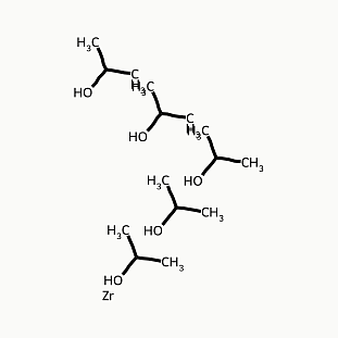 CC(C)O.CC(C)O.CC(C)O.CC(C)O.CC(C)O.[Zr]